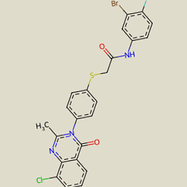 Cc1nc2c(Cl)cccc2c(=O)n1-c1ccc(SCC(=O)Nc2ccc(F)c(Br)c2)cc1